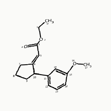 CCOC(=O)C=C1CCCC1c1cccc(OC)c1